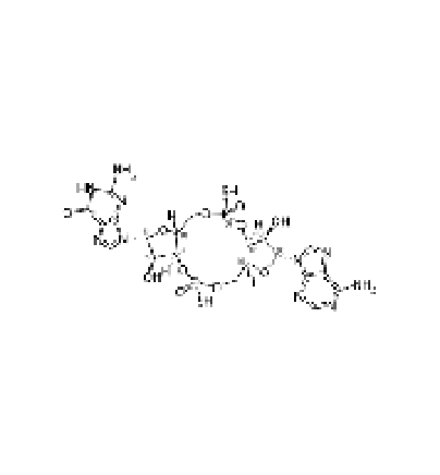 Nc1nc2c(ncn2[C@@H]2O[C@@H]3CO[P@@](=O)(S)O[C@H]4[C@@H](O)[C@H](n5cnc6c(N)ncnc65)O[C@@H]4COP(=O)(S)O[C@H]3[C@H]2O)c(=O)[nH]1